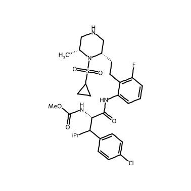 COC(=O)N[C@H](C(=O)Nc1cccc(F)c1CC[C@H]1CNC[C@@H](C)N1S(=O)(=O)C1CC1)C(c1ccc(Cl)cc1)C(C)C